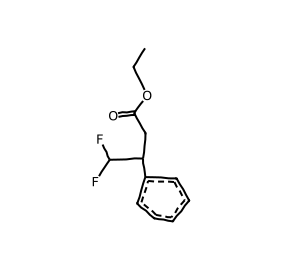 CCOC(=O)CC(c1ccccc1)C(F)F